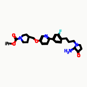 CC(C)OC(=O)N1CCC(COc2ccc(-c3ccc(CCCN4CCC(=O)C4N)c(F)c3)nc2)CC1